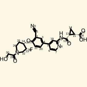 N#Cc1cc(-c2ccnc(NC(=O)[C@@H]3C[C@@H]3C(=O)O)c2)ccc1O[C@H]1CCN(C(=O)CO)C[C@H]1F